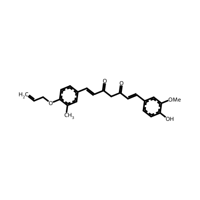 C=CCOc1ccc(/C=C/C(=O)CC(=O)/C=C/c2ccc(O)c(OC)c2)cc1C